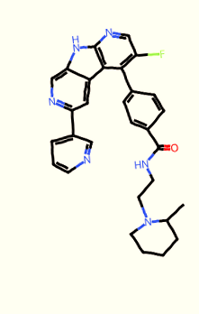 CC1CCCCN1CCNC(=O)c1ccc(-c2c(F)cnc3[nH]c4cnc(-c5cccnc5)cc4c23)cc1